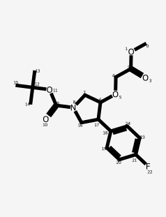 COC(=O)COC1CN(C(=O)OC(C)(C)C)CC1c1ccc(F)cc1